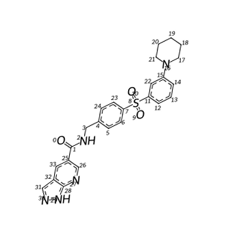 O=C(NCc1ccc(S(=O)(=O)c2cccc(N3CCCCC3)c2)cc1)c1cnc2[nH]ncc2c1